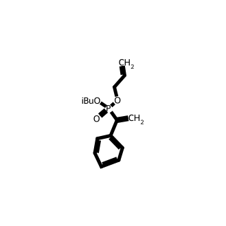 C=CCOP(=O)(OCC(C)C)C(=C)c1ccccc1